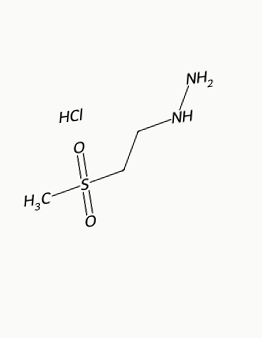 CS(=O)(=O)CCNN.Cl